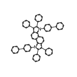 c1ccc(-c2ccc(-n3c(-c4ccccc4)c(-c4ccccc4)c4ccc5c(ccc6c(-c7ccccc7)c(-c7ccccc7)n(-c7ccc(-c8ccccc8)cc7)c65)c43)cc2)cc1